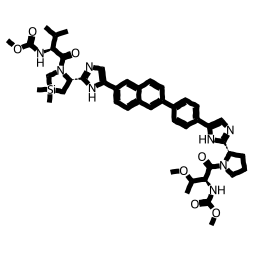 COC(=O)N[C@H](C(=O)N1C[Si](C)(C)C[C@H]1c1ncc(-c2ccc3cc(-c4ccc(-c5cnc([C@@H]6CCCN6C(=O)[C@@H](NC(=O)OC)C(C)OC)[nH]5)cc4)ccc3c2)[nH]1)C(C)C